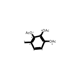 CC(=O)Oc1ccc(C)c(OC(C)=O)c1OC(C)=O